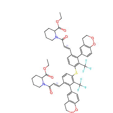 CCOC(=O)C1CCCCN1C(=O)/C=C/c1ccc(Sc2ccc(/C=C/C(=O)N3CCCCC3C(=O)OCC)c(-c3ccc4c(c3)CCOO4)c2C(F)(F)F)c(C(F)(F)F)c1-c1ccc2c(c1)CCOO2